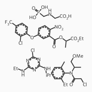 CCNc1nc(Cl)nc(NC(C)C)n1.CCOC(=O)C(C)OC(=O)c1cc(Oc2ccc(C(F)(F)F)cc2Cl)ccc1[N+](=O)[O-].CCc1cccc(C)c1N(C(=O)CCl)C(C)COC.O=C(O)CNCP(=O)(O)O